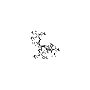 C[Si](C)(C)C[SiH2][SiH](C[Si](C)(C)C)[SiH2]C[Si](C)(C)C